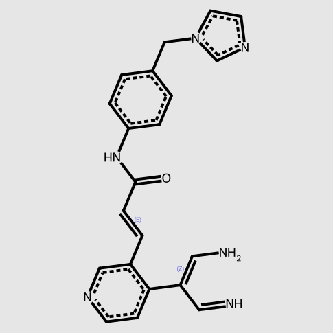 N=C/C(=C\N)c1ccncc1/C=C/C(=O)Nc1ccc(Cn2ccnc2)cc1